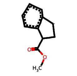 COC(=O)C1C[CH]c2ccccc21